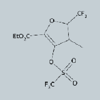 CCOC(=O)C1=C(OS(=O)(=O)C(F)(F)F)C(C)C(C(F)(F)F)O1